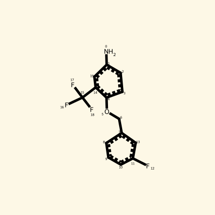 Nc1ccc(OCc2cccc(F)c2)c(C(F)(F)F)c1